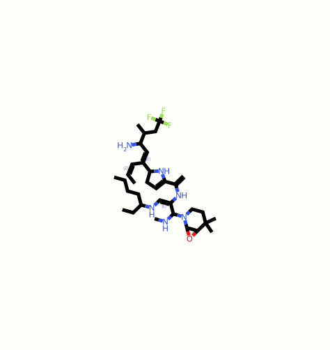 C=C(N/C(=C/NC(CC)CCCC)C(NC)N1CCC(C)(C)C2OC21)C1=CCC(C(/C=C\C)=C/C(N)C(C)CC(F)(F)F)N1